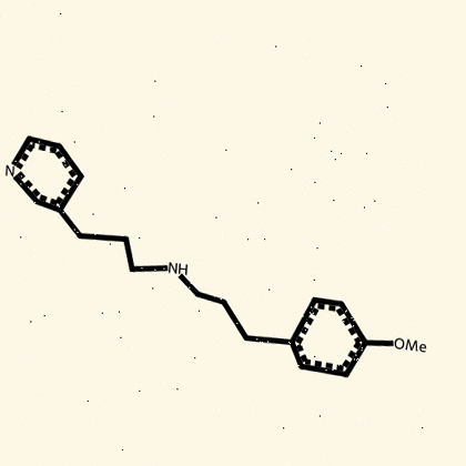 COc1ccc(CCCNCCCc2cccnc2)cc1